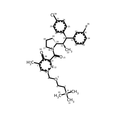 Cc1cn(COCC[Si](C)(C)C)nc(C(=O)N2CCC[C@@H]2[C@H](C)[C@@H](c2ccc(Cl)cc2)c2cccc(F)c2)c1=O